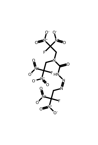 O=C(N/N=N\CC(F)([N+](=O)[O-])[N+](=O)[O-])N(CC(F)([N+](=O)[O-])[N+](=O)[O-])CC(F)([N+](=O)[O-])[N+](=O)[O-]